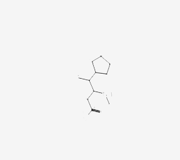 CNC(CC(=O)O)C(C)C1CCCC1